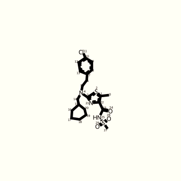 Cc1sc(N(CCc2ccc(Cl)cc2)CC2CCCCC2)nc1C(=O)NS(C)(=O)=O